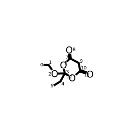 CCOC1(CC)OC(=O)CC(=O)O1